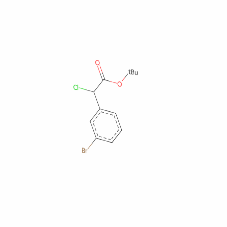 CC(C)(C)OC(=O)C(Cl)c1cccc(Br)c1